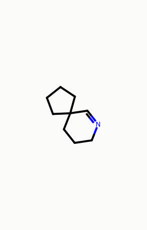 C1=NCCCC12CCCC2